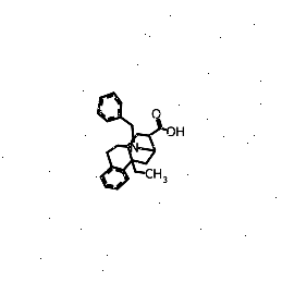 CCC12CC3C(C(=O)O)CC1C(Cc1ccccc12)N3Cc1ccccc1